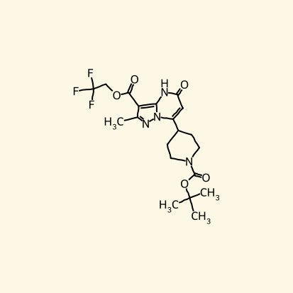 Cc1nn2c(C3CCN(C(=O)OC(C)(C)C)CC3)cc(=O)[nH]c2c1C(=O)OCC(F)(F)F